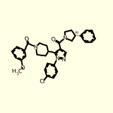 COc1cccc(C(=O)N2CCC(c3c(C(=O)N4CC[C@H](c5ccccc5)C4)cnn3-c3ccc(Cl)cc3)CC2)c1